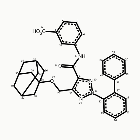 O=C(O)c1cccc(NC(=O)c2nn(-c3ccccc3-c3ccccc3)nc2COC23CC4CC(CC(C4)C2)C3)c1